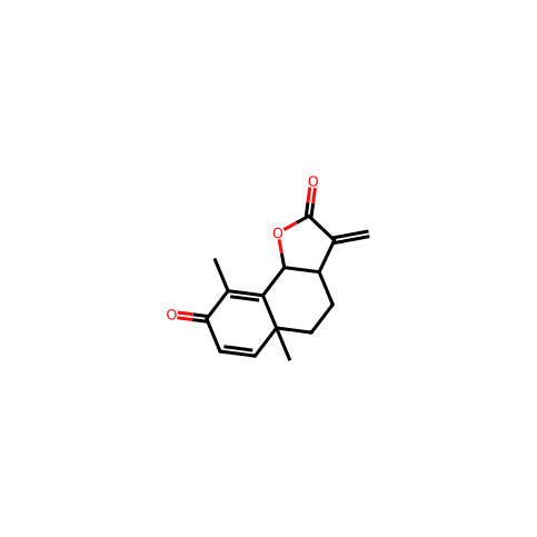 C=C1C(=O)OC2C3=C(C)C(=O)C=CC3(C)CCC12